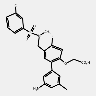 CN(Cc1cc(-c2cc(N)cc(F)c2)c(OCC(=O)O)cc1F)S(=O)(=O)c1cccc(Cl)c1